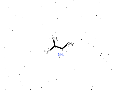 N.[CH2]CC(C)C